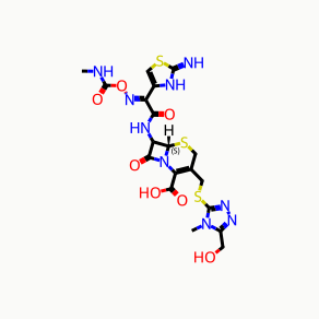 CNC(=O)ON=C(C(=O)NC1C(=O)N2C(C(=O)O)=C(CSc3nnc(CO)n3C)CS[C@@H]12)c1csc(=N)[nH]1